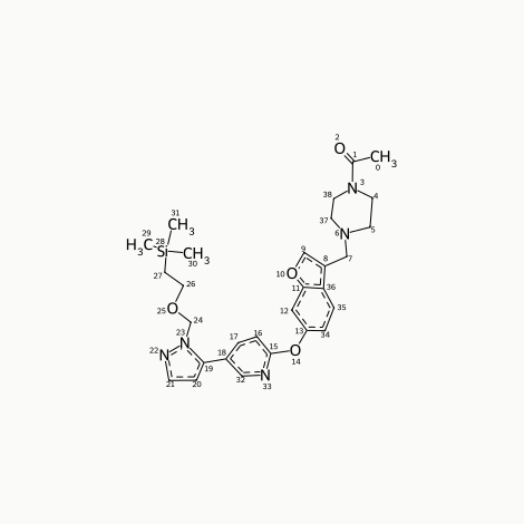 CC(=O)N1CCN(Cc2coc3cc(Oc4ccc(-c5ccnn5COCC[Si](C)(C)C)cn4)ccc23)CC1